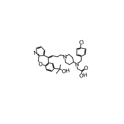 CC(C)(O)c1ccc2c(c1)C(=CCCN1CCC(N(CC(=O)O)Cc3ccc(Cl)cc3)CC1)c1cccnc1CO2